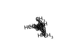 C#Cc1ccc2[nH]c(S(=O)(=O)N3CCN(C(=O)c4nc5c(s4)CNC(C)C5)C(CS(=O)(=O)NC(=O)OCCCC)C3)cc2c1